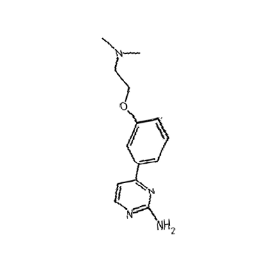 CN(C)CCOc1[c]ccc(-c2ccnc(N)n2)c1